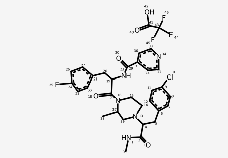 CNC(=O)C(Cc1ccc(Cl)cc1)N1CCN(C(=O)C(Cc2ccc(F)cc2)NC(=O)c2ccncc2)C(C)C1.O=C(O)C(F)(F)F